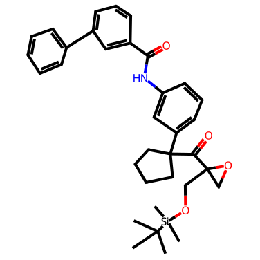 CC(C)(C)[Si](C)(C)OCC1(C(=O)C2(c3cccc(NC(=O)c4cccc(-c5ccccc5)c4)c3)CCCC2)CO1